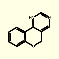 [C]1=NC=C2COc3ccccc3C2N1